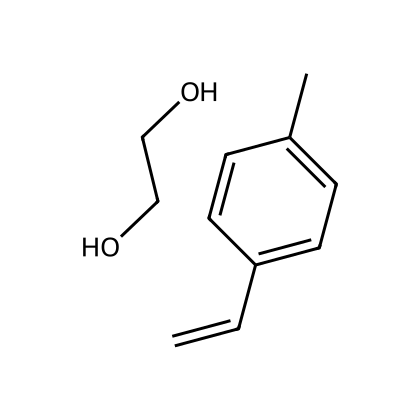 C=Cc1ccc(C)cc1.OCCO